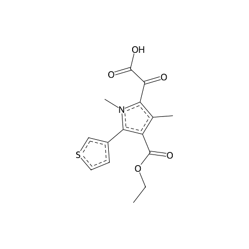 CCOC(=O)c1c(C)c(C(=O)C(=O)O)n(C)c1-c1ccsc1